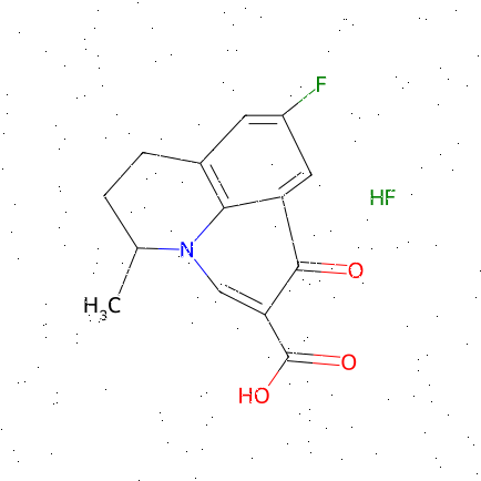 CC1CCc2cc(F)cc3c(=O)c(C(=O)O)cn1c23.F